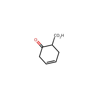 O=C(O)C1CC=CCC1=O